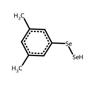 Cc1cc(C)cc([Se][SeH])c1